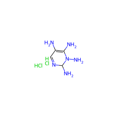 Cl.Cl.NC1=C(N)N(N)C(N)N=C1